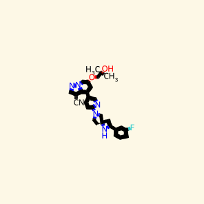 CC(C)(O)COc1cc(-c2ccc(N3CC[C@@]4(C=C(c5cccc(F)c5)N4)C3)nc2)c2c(C#N)cnn2c1